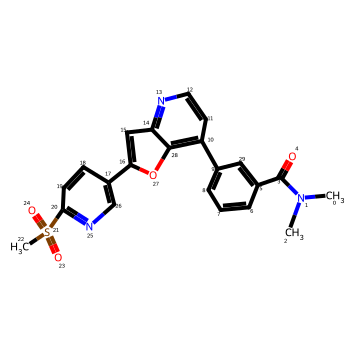 CN(C)C(=O)c1cccc(-c2ccnc3cc(-c4ccc(S(C)(=O)=O)nc4)oc23)c1